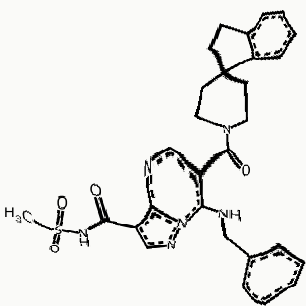 CS(=O)(=O)NC(=O)c1cnn2c(NCc3ccccc3)c(C(=O)N3CCC4(CCc5ccccc54)CC3)cnc12